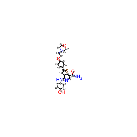 NC(=O)c1cnc(NC2CCC(O)CC2)c2cc(-c3ccc(OCCN4CCOCC4)cc3)sc12